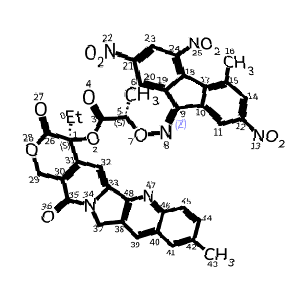 CC[C@@]1(OC(=O)[C@H](C)O/N=C2/c3cc([N+](=O)[O-])cc(C)c3-c3c2cc([N+](=O)[O-])cc3[N+](=O)[O-])C(=O)OCc2c1cc1n(c2=O)Cc2cc3cc(C)ccc3nc2-1